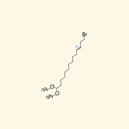 CCCOC(CCCCCCCCC/C=C/CCBr)OCCC